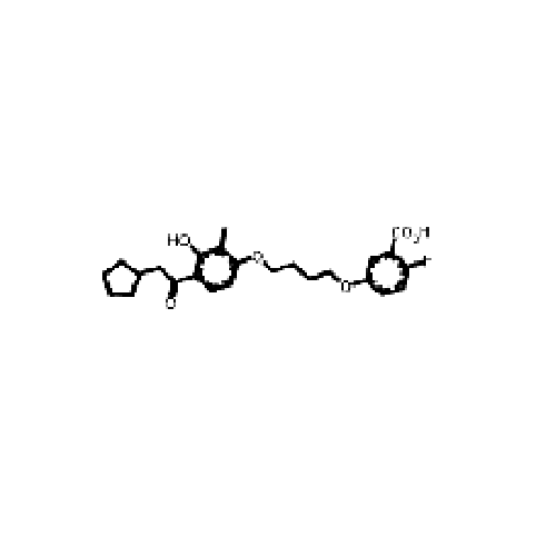 Cc1c(OCCCCOc2ccc(F)c(C(=O)O)c2)ccc(C(=O)CC2CCCC2)c1O